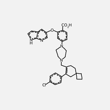 O=C(O)c1ccc(N2CCN(CC3=C(c4ccc(Cl)cc4)CC4(CCC4)CC3)CC2)cc1Oc1cnc2[nH]ccc2c1